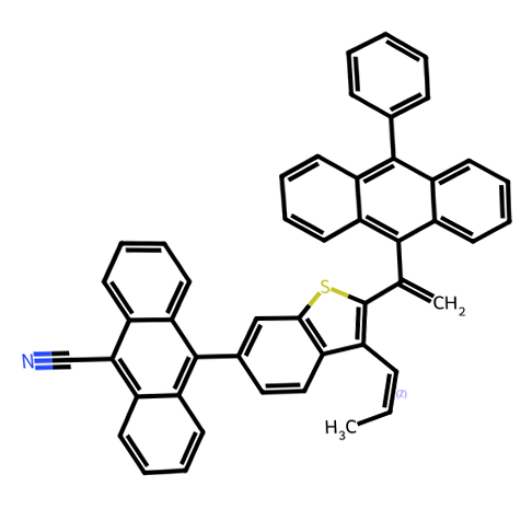 C=C(c1sc2cc(-c3c4ccccc4c(C#N)c4ccccc34)ccc2c1/C=C\C)c1c2ccccc2c(-c2ccccc2)c2ccccc12